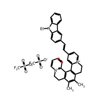 CCn1c2ccccc2c2cc(/C=C/c3cc[n+]4c(c3)-c3c(c(C)c(C)c5c3-c3c6ccccc6cc[n+]3CC5)CC4)ccc21.O=S(=O)([O-])C(F)(F)F.O=S(=O)([O-])C(F)(F)F